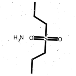 CCCS(=O)(=O)CCC.N